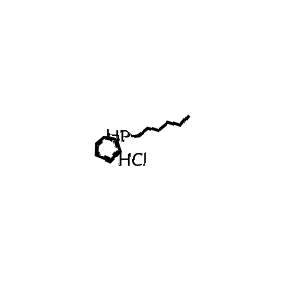 CCCCCCPc1ccccc1.Cl